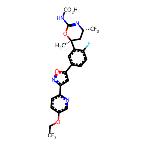 C[C@@]1(c2cc(-c3cc(-c4ccc(OCC(F)(F)F)cn4)no3)ccc2F)C[C@@H](C(F)(F)F)N=C(NC(=O)O)O1